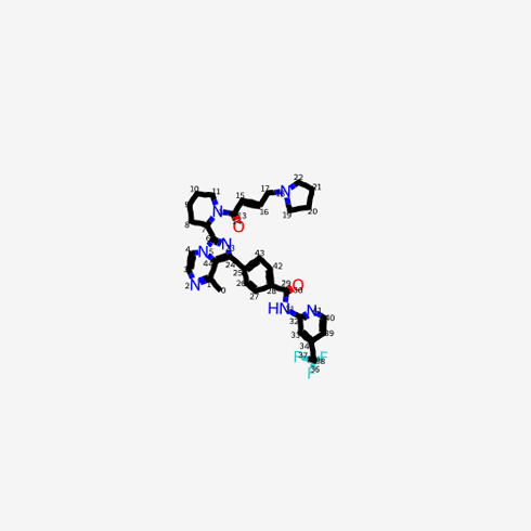 Cc1nccn2c(C3CCCCN3C(=O)C=CCN3CCCC3)nc(-c3ccc(C(=O)Nc4cc(C(F)(F)F)ccn4)cc3)c12